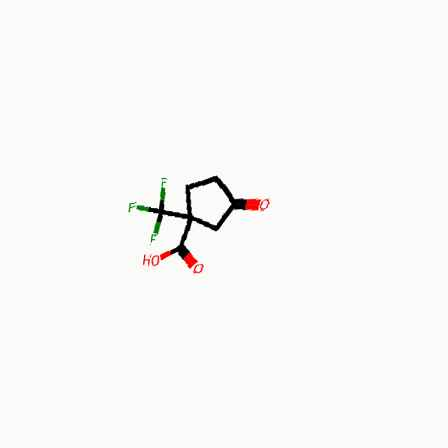 O=C1CCC(C(=O)O)(C(F)(F)F)C1